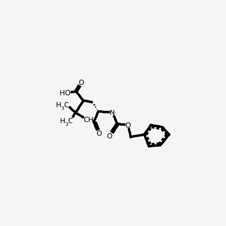 CC(C)(C)C(C[C@@H](C=O)[N]C(=O)OCc1ccccc1)C(=O)O